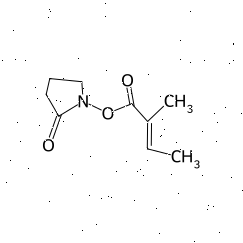 CC=C(C)C(=O)ON1CCCC1=O